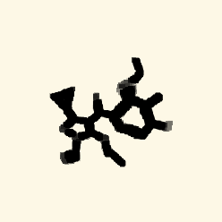 CCOC1=C(C(=S)c2ccc(Cl)c(C)c2SCC)C(C2CC2)ON1C=O